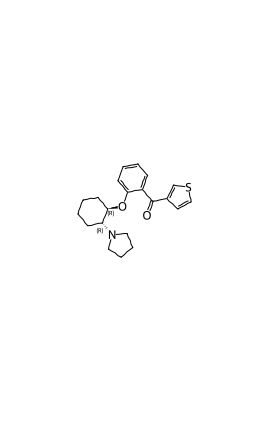 O=C(c1ccsc1)c1ccccc1O[C@@H]1CCCC[C@H]1N1CCCC1